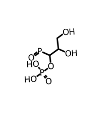 O=PC(OP(=O)(O)O)C(O)CO